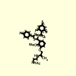 C=C(COc1cccc(C2SC(c3ccc(F)cc3)=NN2C(=O)c2c(F)cc(F)cc2F)c1OC)NCCNC(C)=O